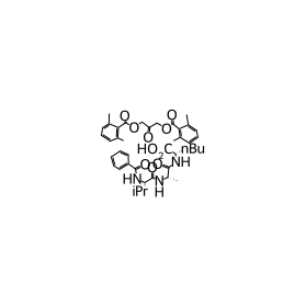 CCCC[C@H](NC(=O)[C@H](C)NC(=O)[C@@H](NC(=O)c1ccccc1)C(C)C)C(=O)O.Cc1cccc(C)c1C(=O)OCC(=O)COC(=O)c1c(C)cccc1C